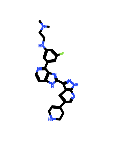 CN(C)CCNc1cc(F)cc(-c2nccc3[nH]c(-c4n[nH]c5ncc(C6=CCNCC6)cc45)nc23)c1